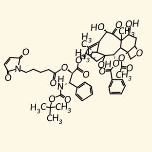 CC(=O)O[C@@]12COC1C[C@H](O)C1(C)C(=O)[C@H](O)C3=C(C)[C@@H](OC(=O)[C@H](OC(=O)CCCCN4C(=O)C=CC4=O)[C@@H](NC(=O)OC(C)(C)C)c4ccccc4)C[C@@](O)([C@@H](OC(=O)c4ccccc4)C12)C3(C)C